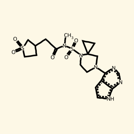 CN(C(=O)CC1CCS(=O)(=O)C1)S(=O)(=O)N1CCN(c2ncnc3[nH]ccc23)CC12CC2